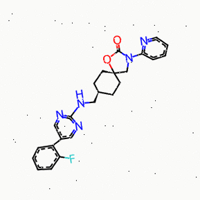 O=C1O[C@]2(CC[C@H](CNc3ncc(-c4ccccc4F)cn3)CC2)CN1c1ccccn1